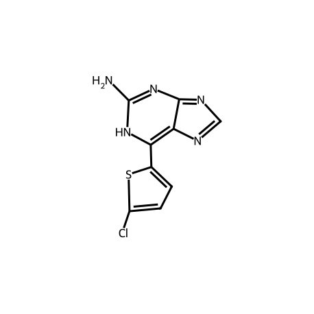 Nc1nc2ncnc-2c(-c2ccc(Cl)s2)[nH]1